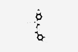 CCCCCN(C(=O)CNC(=O)c1ccc(OC)c(OC)c1)c1ccc2c(c1)OCO2